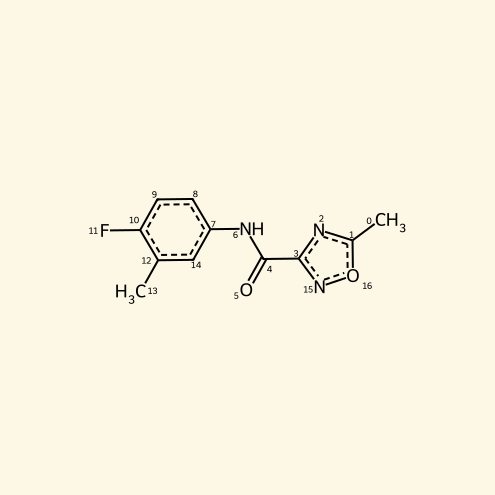 Cc1nc(C(=O)Nc2ccc(F)c(C)c2)no1